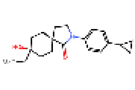 COC[C@]1(O)CC[C@]2(CCN(c3ccc(C4CC4)cc3)C2=O)CC1